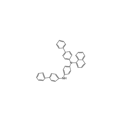 c1ccc(-c2ccc(Nc3ccc(N(c4ccc(-c5ccccc5)cc4)c4cccc5ccccc45)cc3)cc2)cc1